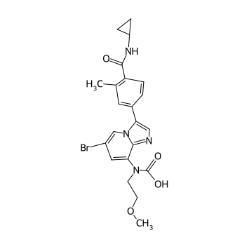 COCCN(C(=O)O)c1cc(Br)cn2c(-c3ccc(C(=O)NC4CC4)c(C)c3)cnc12